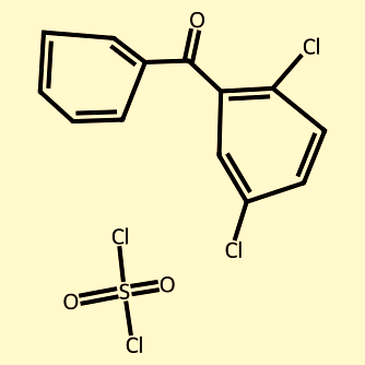 O=C(c1ccccc1)c1cc(Cl)ccc1Cl.O=S(=O)(Cl)Cl